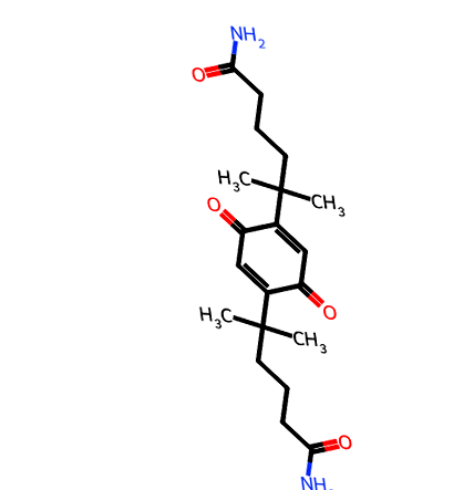 CC(C)(CCCC(N)=O)C1=CC(=O)C(C(C)(C)CCCC(N)=O)=CC1=O